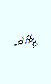 C=C1c2c(Cl)ccc(N[S+]([O-])c3ccc(C(C)(C)C)cc3)c2C(=O)N1c1cc(C)cnc1C